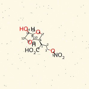 O=C(O)C(CCO[N+](=O)[O-])[C@@H]1CO[C@H]2[C@@H]1OC[C@H]2O